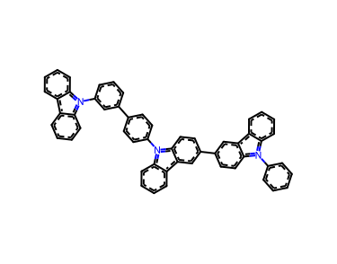 c1ccc(-n2c3ccccc3c3cc(-c4ccc5c(c4)c4ccccc4n5-c4ccc(-c5cccc(-n6c7ccccc7c7ccccc76)c5)cc4)ccc32)cc1